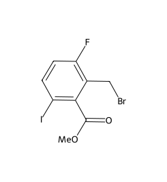 COC(=O)c1c(I)ccc(F)c1CBr